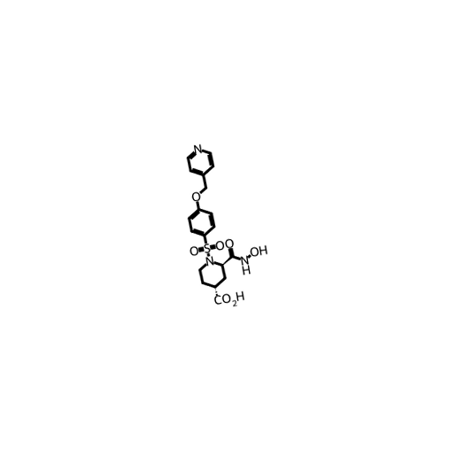 O=C(O)[C@@H]1CCN(S(=O)(=O)c2ccc(OCc3ccncc3)cc2)[C@@H](C(=O)NO)C1